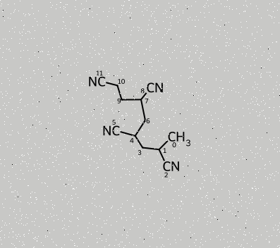 CC(C#N)CC(C#N)CC(C#N)CCC#N